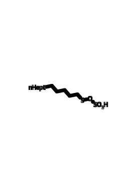 CCCCCCCCCCCCSOS(=O)(=O)O